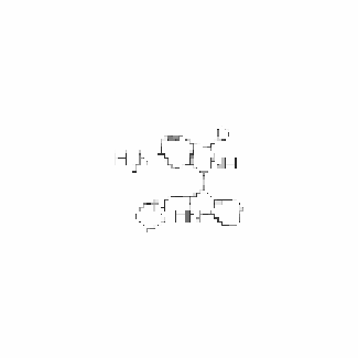 Nc1ccc2c(c1)C(c1c(CN3CCCC3)[nH]c3ccccc13)NC2=O